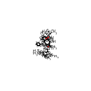 CC[Si](CC)(CC)O[C@H]1C[C@H]2OC[C@@]2(OC(C)=O)[C@H]2[C@H](OC(=O)c3ccccc3)[C@]3(O)C[C@H](OC(=O)[C@H](O[Si](CC)(CC)CC)[C@H](CC(C)C)NC(=O)OC(C)(C)C)C(C)=C([C@H](O)[C@H](O)[C@]12C)C3(C)C